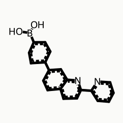 OB(O)c1ccc(-c2ccc3ccc(-c4ccccn4)nc3c2)cc1